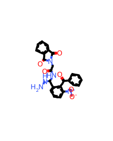 NNC(NC(=O)CN1C(=O)c2ccccc2C1=O)c1cccc([N+](=O)[O-])c1C(=O)c1ccccc1